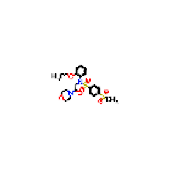 CCOc1ccccc1N(CC(=O)N1CCOCC1)S(=O)(=O)c1ccc(S(C)(=O)=O)cc1